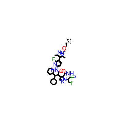 Cc1nn(COCC[Si](C)(C)C)c(C)c1-c1ccc(NC(=O)C(c2cnn(C(CF)CF)c2C(N)=O)C(C2CCCCC2)C2CCCCC2)nc1F